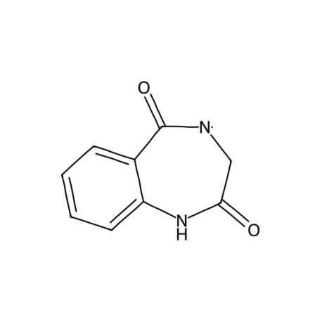 O=C1C[N]C(=O)c2ccccc2N1